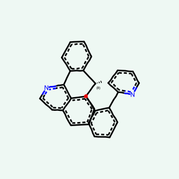 C[C@H](Cc1ccccc1-c1ccccn1)c1ccccc1-c1nccc2ccccc12